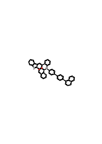 c1ccc(N(c2ccc(-c3ccc(-c4cccc5ccccc45)cc3)cc2)c2cccc3ccccc23)c(-c2ccc3sc4ccccc4c3c2)c1